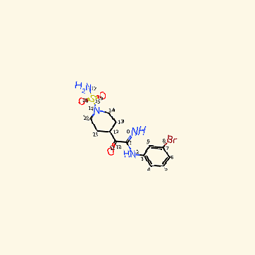 N=C(Nc1cccc(Br)c1)C(=O)C1CCN(S(N)(=O)=O)CC1